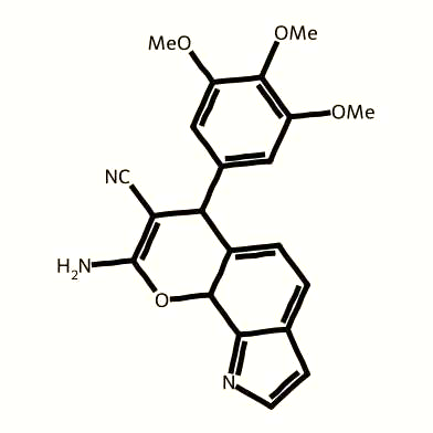 COc1cc(C2C3=CC=C4C=CN=C4C3OC(N)=C2C#N)cc(OC)c1OC